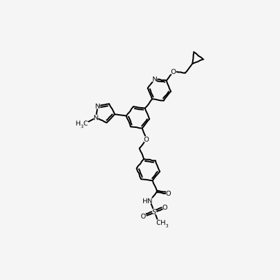 Cn1cc(-c2cc(OCc3ccc(C(=O)NS(C)(=O)=O)cc3)cc(-c3ccc(OCC4CC4)nc3)c2)cn1